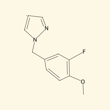 COc1ccc(Cn2c[c]cn2)cc1F